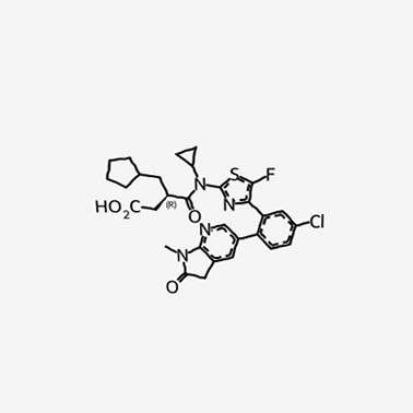 CN1C(=O)Cc2cc(-c3ccc(Cl)cc3-c3nc(N(C(=O)[C@@H](CC(=O)O)CC4CCCC4)C4CC4)sc3F)cnc21